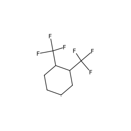 FC(F)(F)C1C[CH]CCC1C(F)(F)F